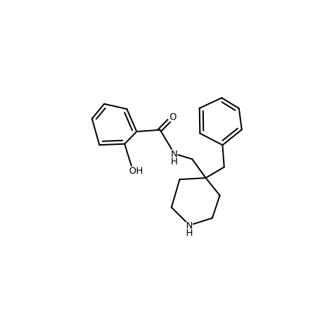 O=C(NCC1(Cc2ccccc2)CCNCC1)c1ccccc1O